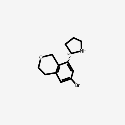 Brc1cc2c(c([C@@H]3CCCN3)c1)COCC2